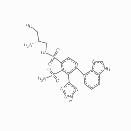 N[C@H](CO)CNS(=O)(=O)c1ccc(-c2cccc3[nH]cnc23)c(-c2nn[nH]n2)c1S(N)(=O)=O